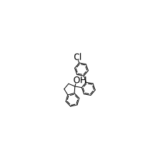 OC1(c2ccccc2-c2ccc(Cl)cc2)CCc2ccccc21